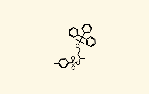 Cc1ccc(S(=O)(=O)OC(C)CCOC(C)(C)C(c2ccccc2)(c2ccccc2)c2ccccc2)cc1